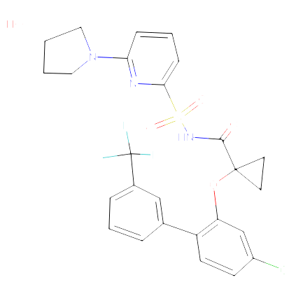 O=C(NS(=O)(=O)c1cccc(N2CC[C@H](O)C2)n1)C1(Oc2cc(Cl)ccc2-c2cccc(C(F)(F)F)c2)CC1